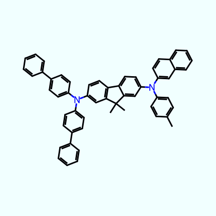 Cc1ccc(N(c2ccc3c(c2)C(C)(C)c2cc(N(c4ccc(-c5ccccc5)cc4)c4ccc(-c5ccccc5)cc4)ccc2-3)c2ccc3ccccc3c2)cc1